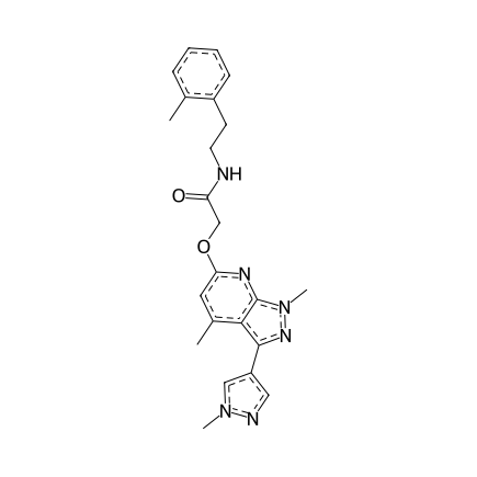 Cc1ccccc1CCNC(=O)COc1cc(C)c2c(-c3cnn(C)c3)nn(C)c2n1